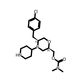 CN(C)C(=O)OC[C@H]1CN(C2CCNCC2)[C@@H](Cc2ccc(Cl)cc2)CO1